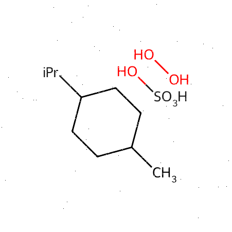 CC1CCC(C(C)C)CC1.O=S(=O)(O)O.OO